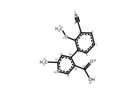 COc1c(C#N)cccc1-c1cc(C)ncc1C(=O)O